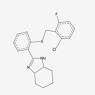 Fc1cccc(Cl)c1CSc1ccccc1C1=NC2CCCCC2N1